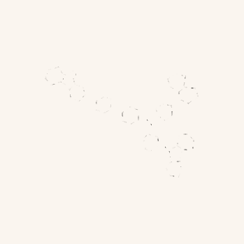 c1cc(N(c2ccc(-c3ccc(-c4ccc5c(c4)oc4ccccc45)cc3)cc2)c2ccc(-c3cccc4ccccc34)cc2)cc(-n2c3ccccc3c3ccccc32)c1